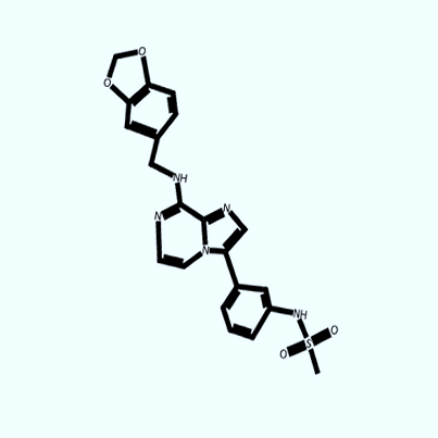 CS(=O)(=O)Nc1cccc(-c2cnc3c(NCc4ccc5c(c4)OCO5)nccn23)c1